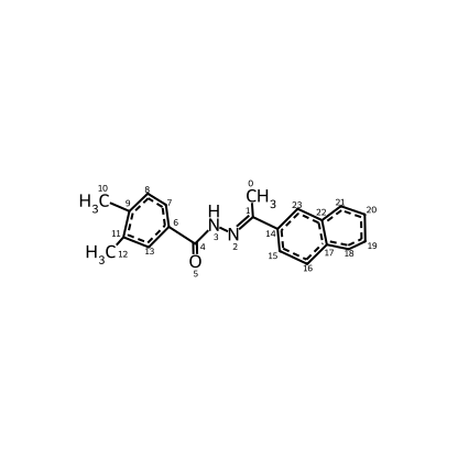 CC(=NNC(=O)c1ccc(C)c(C)c1)c1ccc2ccccc2c1